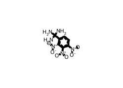 NC(N)(N)c1ccc([N+](=O)[O-])c([N+](=O)[O-])c1[N+](=O)[O-]